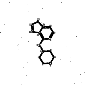 c1cc(SN2CCOCC2)c2ncsc2c1